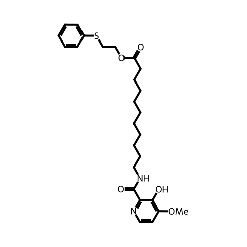 COc1ccnc(C(=O)NCCCCCCCCCCC(=O)OCCSc2ccccc2)c1O